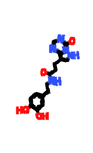 O=C(CCc1c[nH]n2c(=O)ncnc12)NCCc1ccc(O)c(O)c1